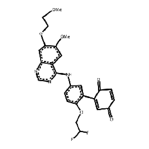 COCCOc1cc2ncnc(Nc3ccc(OCC(F)F)c(C4=CC(=O)C=CC4=O)c3)c2cc1OC